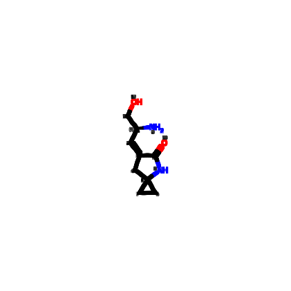 N[C@@H](C=C1CC2(CC2)NC1=O)CO